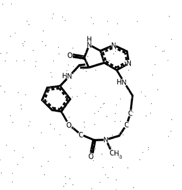 CN1CCCCNc2ncnc3c2/C(=C/Nc2cccc(c2)OCC1=O)C(=O)N3